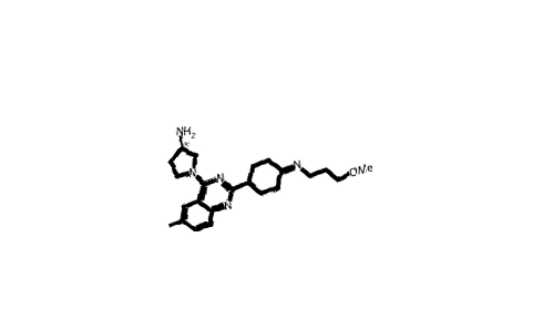 COCCCN=C1CCC(c2nc(N3CC[C@@H](N)C3)c3cc(C)ccc3n2)CC1